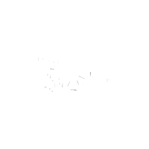 CCOC(=O)c1cc2cc(NC(=O)[C@@H]3[C@H](N4CCCCC4)CCN3C(=O)OC(C)(C)C)ccc2o1